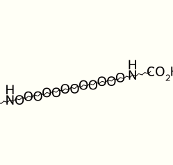 C#CCCCNCCOCCOCCOCCOCCOCCOCCOCCOCCOCCOCCOCCOCCCNCCCCCC(=O)O